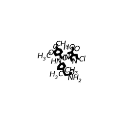 COc1ccc(C(=O)Nc2ccc(C(C)(C)CC(N)=O)cc2)cc1OC.O=C(O)c1c[nH]c2cnc(Cl)cc12